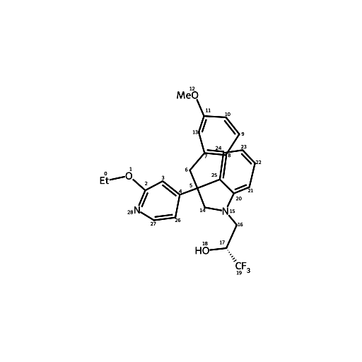 CCOc1cc(C2(Cc3cccc(OC)c3)CN(C[C@@H](O)C(F)(F)F)c3ccccc32)ccn1